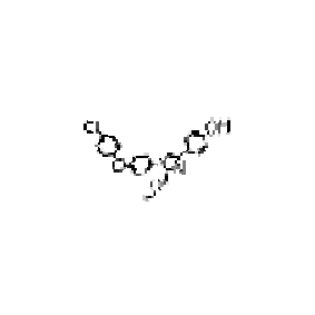 CCOCc1nc(-c2ccc(O)cc2)cn1-c1ccc(Oc2ccc(Cl)cc2)cc1